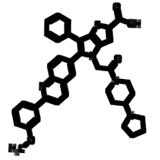 COc1cccc(-c2ccc3cc(-c4c(-c5ccccc5)c5sc(C(=O)O)cc5n4CC(=O)N4CCC(N5CCCC5)CC4)ccc3n2)c1